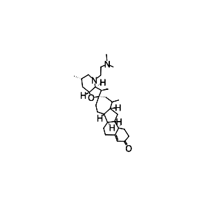 CC1C[C@]2(CC[C@H]3[C@@H]4CCC5=CC(=O)CC[C@]5(C)[C@H]4C[C@@H]13)O[C@@H]1C[C@H](C)CN(CCN(C)C)[C@H]1[C@H]2C